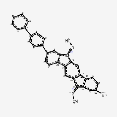 N#C/N=c1\c2cc(-c3ccc(-c4ccccc4)cc3)ccc2c2cc3/c(=N/C#N)c4cc(C(F)(F)F)ccc4c3cc12